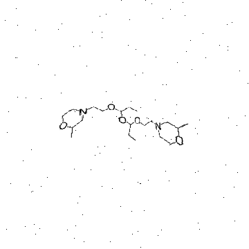 CCC(OCCN1CCOC(C)C1)OC(CC)OCCN1CCOC(C)C1